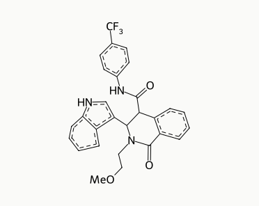 COCCN1C(=O)c2ccccc2C(C(=O)Nc2ccc(C(F)(F)F)cc2)C1c1c[nH]c2ccccc12